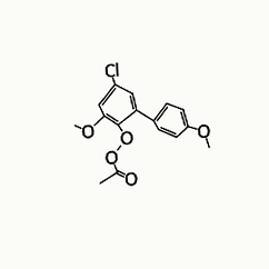 COc1ccc(-c2cc(Cl)cc(OC)c2OOC(C)=O)cc1